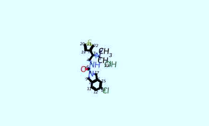 CN(C)C(CNC(=O)N1Cc2ccc(Cl)cc2C1)c1ccsc1.Cl